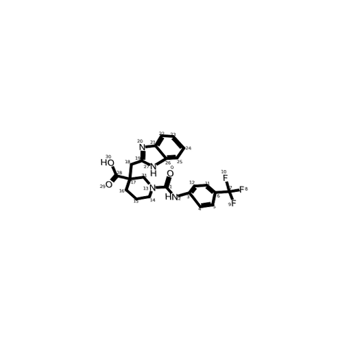 O=C(Nc1ccc(C(F)(F)F)cc1)N1CCCC(Cc2nc3ccccc3[nH]2)(C(=O)O)C1